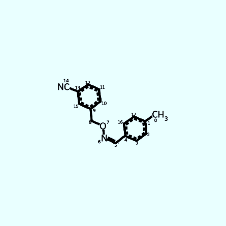 Cc1ccc(/[C]=N\OCc2cccc(C#N)c2)cc1